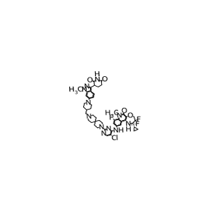 Cn1nc(C2CCC(=O)NC2=O)c2ccc(N3CCC(CN4CCC5(CC4)CCN(c4ncc(Cl)c(Nc6cc(F)c7c(c6)c6c(c(=O)n7C)OCC(F)(F)[C@H](C7CC7)N6)n4)CC5)CC3)cc21